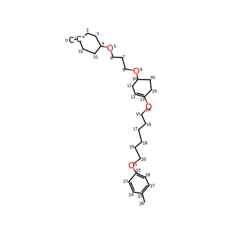 [CH2-][C+]1CCC(OCCCOC2CC=C(OCCCCCCOc3ccc(C)cc3)CC2)CC1